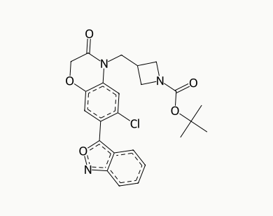 CC(C)(C)OC(=O)N1CC(CN2C(=O)COc3cc(-c4onc5ccccc45)c(Cl)cc32)C1